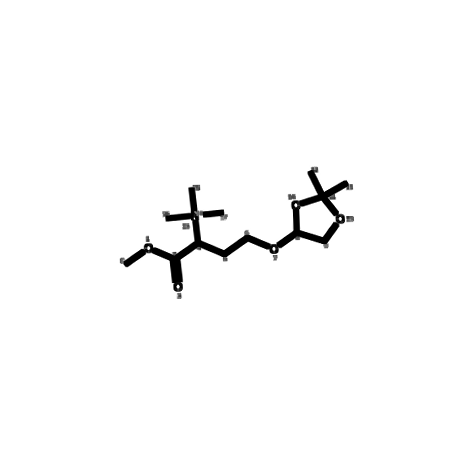 COC(=O)C(CCOC1COC(C)(C)O1)[N+](C)(C)C